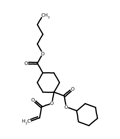 C=CC(=O)OC1(C(=O)OC2CCCCC2)CCC(C(=O)OCCCC)CC1